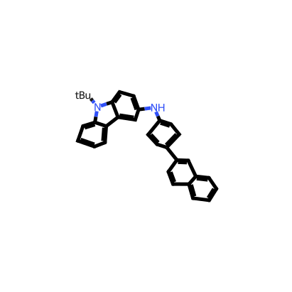 CC(C)(C)n1c2ccccc2c2cc(Nc3ccc(-c4ccc5ccccc5c4)cc3)ccc21